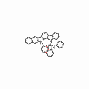 c1ccc(-n2c(-n3c4ccccc4c4ccc5c6cc7ccccc7cc6n(-c6ccccc6)c5c43)nc3ccccc32)cc1